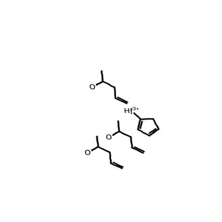 C=CCC(C)[O-].C=CCC(C)[O-].C=CCC(C)[O-].[Hf+3][C]1=CC=CC1